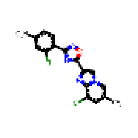 O=[N+]([O-])c1ccc(-c2noc(-c3cn4cc(C(F)(F)F)cc(Cl)c4n3)n2)c(Cl)c1